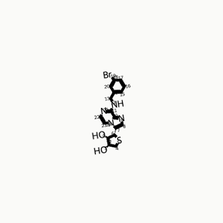 O[C@@H]1[C@H](O)CS[C@H]1c1cnc2c(NCc3cccc(Br)c3)nccn12